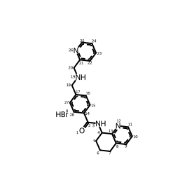 Br.O=C(NC1CCCc2cccnc21)c1ccc(CNCc2ccccn2)cc1